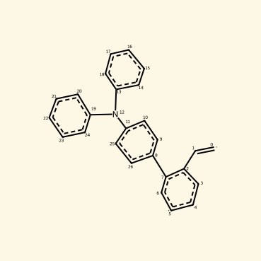 [CH]=Cc1cc[c]cc1-c1ccc(N(c2ccccc2)c2ccccc2)cc1